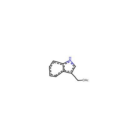 CC(=O)OCc1c[nH]c2ccccc12